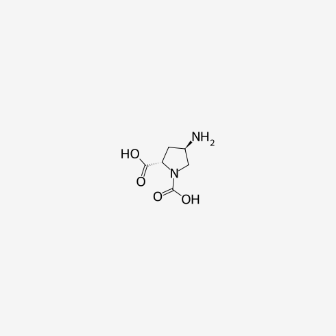 N[C@@H]1C[C@@H](C(=O)O)N(C(=O)O)C1